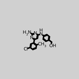 Cc1ccc(Cl)cc1-c1cc(Nc2ccc(CO)cc2)nc(N)n1